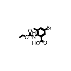 CCOC(=O)Nc1c(C)cc(Br)cc1C(=O)O